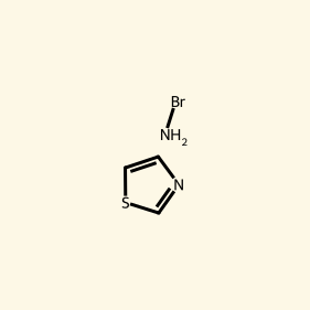 NBr.c1cscn1